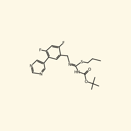 CCCS/C(=N\Cc1cc(-c2cncnc2)c(F)cc1F)NC(=O)OC(C)(C)C